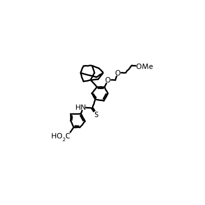 COCCOCOc1ccc(C(=S)Nc2ccc(C(=O)O)cc2)cc1C12CC3CC(CC(C3)C1)C2